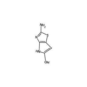 Nc1nc2[nH]c(O)cc2s1